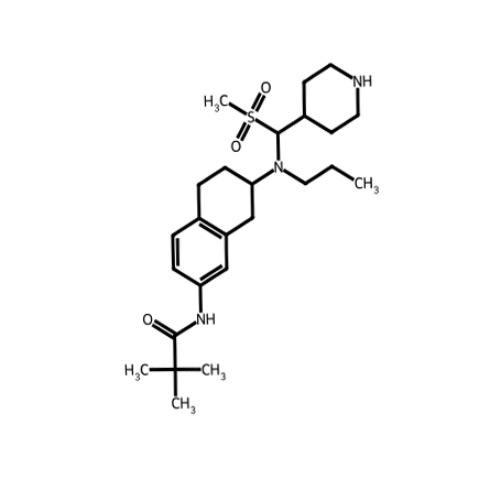 CCCN(C1CCc2ccc(NC(=O)C(C)(C)C)cc2C1)C(C1CCNCC1)S(C)(=O)=O